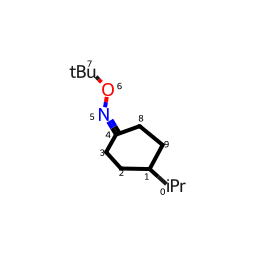 CC(C)C1CCC(=NOC(C)(C)C)CC1